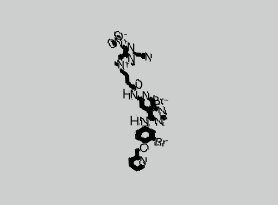 Cn1c(C#N)nc([N+](=O)[O-])c1C[N+](C)(C)C/C=C/C(=O)Nc1cc2c(Nc3ccc(OCc4ccccn4)c(Br)c3)ncnc2cn1.[Br-]